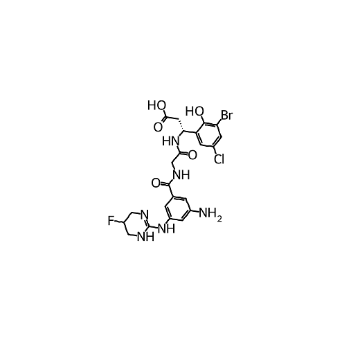 Nc1cc(NC2=NCC(F)CN2)cc(C(=O)NCC(=O)N[C@H](CC(=O)O)c2cc(Cl)cc(Br)c2O)c1